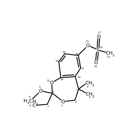 CCC1(OC)OCC(C)(C)c2cc(OS(C)(=O)=O)ccc2O1